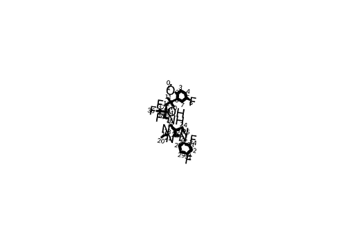 COc1ccc(F)cc1C(C)(C)C[C@](O)(CNc1nc(C)nc2c1cnn2-c1ccc(F)cc1F)C(F)(F)F